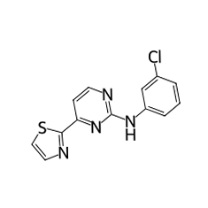 Clc1cccc(Nc2nccc(-c3nccs3)n2)c1